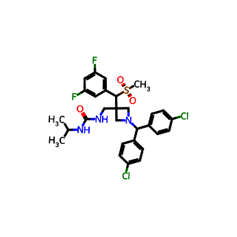 CC(C)NC(=O)NCC1(C(c2cc(F)cc(F)c2)S(C)(=O)=O)CN(C(c2ccc(Cl)cc2)c2ccc(Cl)cc2)C1